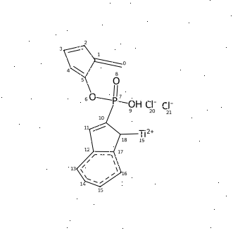 C=C1C=CC=C1OP(=O)(O)C1=Cc2ccccc2[CH]1[Ti+2].[Cl-].[Cl-]